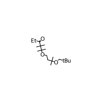 CCC(=O)C(C)(C)C(C)(C)OCCC(C)(C)OCC(C)(C)C